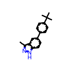 Cc1n[nH]c2ccc(-c3ccc(C(C)(C)C)cc3)cc12